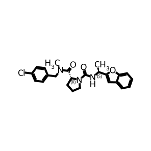 C[C@H](NC(=O)N1CCC[C@@H]1C(=O)N(C)Cc1ccc(Cl)cc1)c1cc2ccccc2o1